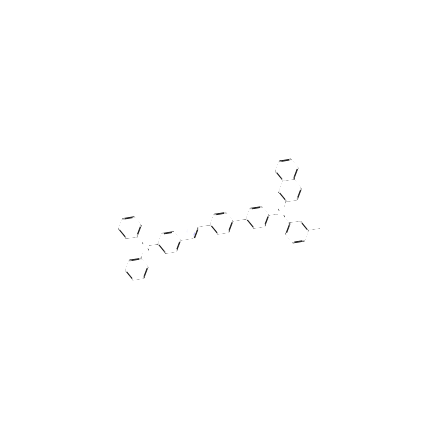 Cc1cccc(N(c2ccc(-c3ccc(/C=C/c4ccc(N(c5ccccc5)c5ccccc5)cc4)cc3)cc2)c2ccc3ccccc3c2)c1